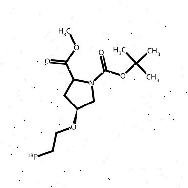 COC(=O)C1C[C@H](OCC[18F])CN1C(=O)OC(C)(C)C